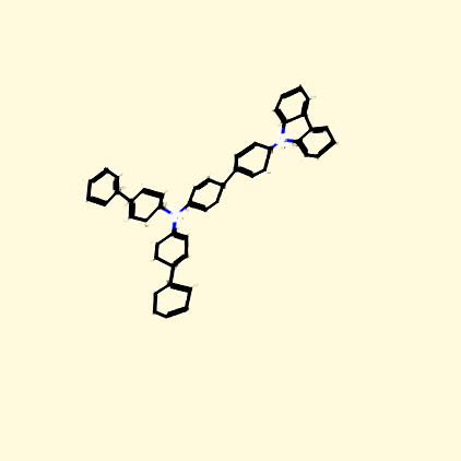 C1=CCCC(C2=CC=C(N(C3=CCC(C4=CCC(n5c6ccccc6c6ccccc65)C=C4)C=C3)C3C=CC(c4ccccc4)=CC3)CC2)=C1